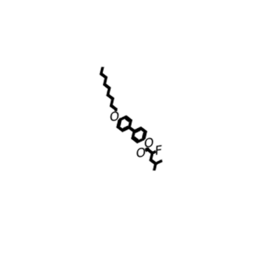 CCCCCCCCCOc1ccc(-c2ccc(OC(=O)C(F)CC(C)C)cc2)cc1